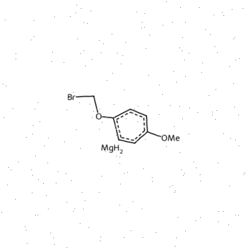 COc1ccc(OCBr)cc1.[MgH2]